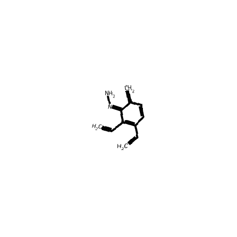 C=CC1=C(C=C)/C(=N/N)C(=C)C=C1